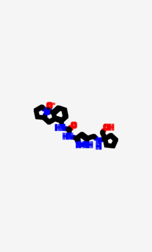 O=C(Nc1cc(CNC2(CO)CCCC2)[nH]n1)Nc1cccc2c1CC1CCC[N+]21[O-]